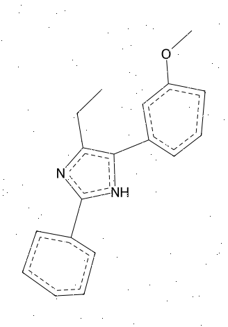 CCc1nc(-c2ccccc2)[nH]c1-c1cccc(OC)c1